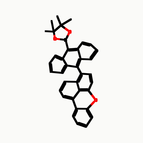 CC1(C)OB(c2c3ccccc3c(-c3ccc4c5c(cccc35)-c3ccccc3O4)c3ccccc23)OC1(C)C